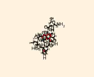 CC[C@H](C)[C@H](NC(=O)[C@H](C)NC(=O)[C@H](CC(C)C)NC(=O)[C@@H](NC(=O)[C@H](C)NC(=O)[C@H](CCSC)NC(=O)CN)C(C)C)C(=O)N[C@@H](CO)C(=O)N[C@@H](Cc1c[nH]cn1)C(=O)N[C@@H](Cc1ccc(O)cc1)C(=O)O